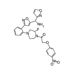 NC(c1ccon1)c1cc(-c2ccccc2N2CCN(C(=O)COc3ccc([N+](=O)[O-])cc3)C(F)C2)no1